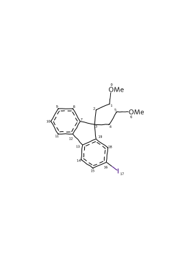 COCCC1(CCOC)c2ccccc2-c2ccc(I)cc21